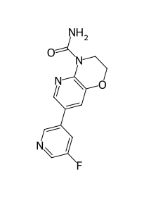 NC(=O)N1CCOc2cc(-c3cncc(F)c3)cnc21